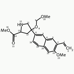 C=Cc1cc2cc(C3(OCOC)CNC(C(=O)OC)C3)ccc2cc1OC